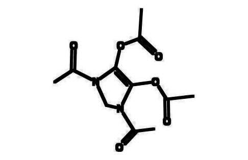 CC(=O)OC1=C(OC(C)=O)N(C(C)=O)CN1C(C)=O